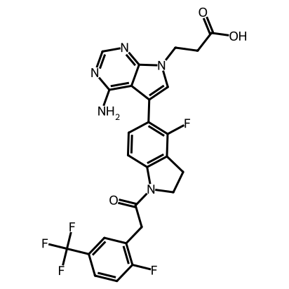 Nc1ncnc2c1c(-c1ccc3c(c1F)CCN3C(=O)Cc1cc(C(F)(F)F)ccc1F)cn2CCC(=O)O